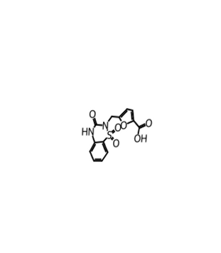 O=C(O)c1ccc(CN2C(=O)Nc3ccccc3S2(=O)=O)o1